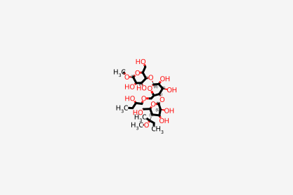 CCC(O)COCC1O[C@H](O[C@@H]2C(CO)O[C@H](OC)C(O)[C@H]2O)C(O)[C@@H](O)[C@@H]1O[C@H]1OC(CO)[C@@H](C(C)(CC)OC)C(O)[C@@H]1O